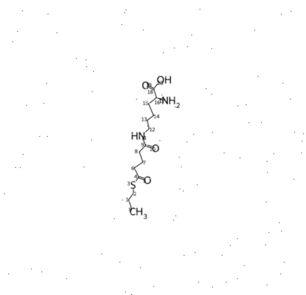 CCCSC(=O)CCCC(=O)NCCCC[C@H](N)C(=O)O